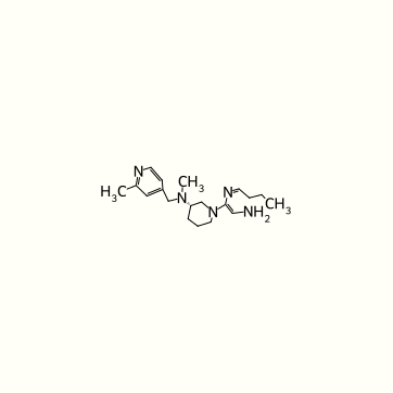 CCC/C=N\C(=C/N)N1CCC[C@H](N(C)Cc2ccnc(C)c2)C1